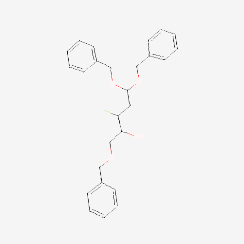 OC(COCc1ccccc1)C(F)CC(OCc1ccccc1)OCc1ccccc1